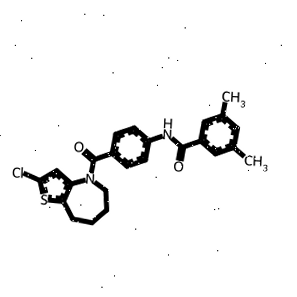 Cc1cc(C)cc(C(=O)Nc2ccc(C(=O)N3CCCCc4sc(Cl)cc43)cc2)c1